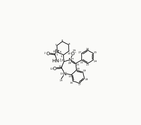 CCC(=O)N[C@@]1(C2CCCCC2)C(=O)N(C)c2ccccc2C(c2ccccc2)=[N+]1[O-]